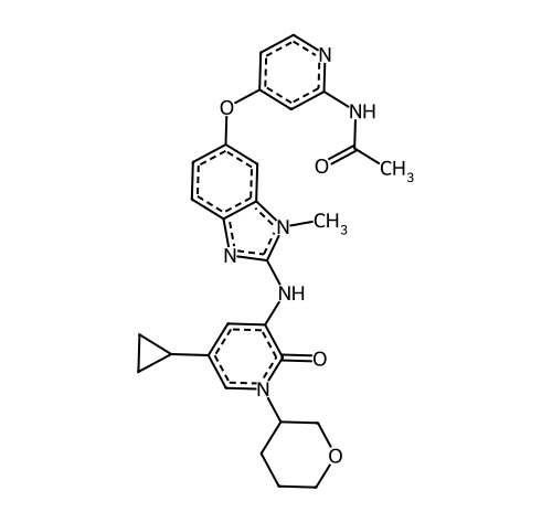 CC(=O)Nc1cc(Oc2ccc3nc(Nc4cc(C5CC5)cn(C5CCCOC5)c4=O)n(C)c3c2)ccn1